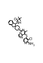 Cc1nc(N2CCC3(CC2)Cc2ccccc2C3N[S+]([O-])C(C)(C)C)n2ccnc2c1Sc1ccnc(N)c1Cl